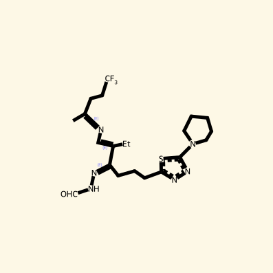 CCC(=C\N=C(/C)CCC(F)(F)F)/C(CCCc1nnc(N2CCCCC2)s1)=N/NC=O